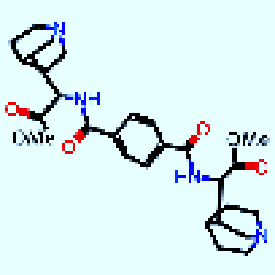 COC(=O)[C@H](NC(=O)c1ccc(C(=O)N[C@@H](C(=O)OC)C2CN3CCC2CC3)cc1)C1CN2CCC1CC2